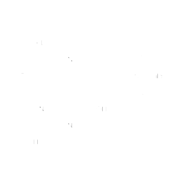 CC(C)[Si](C#Cc1nc(Cl)c(F)c2nc(O)nc(O)c12)(C(C)C)C(C)C